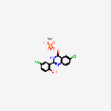 O=P([O-])(O)O.O=c1[nH]c(-c2cc(Cl)ccc2O)nc2ccc(Cl)cc12.[Na+]